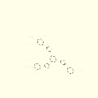 COc1cc(-c2nnc(-c3cc(-c4nnc(-c5cc(OC)c(OC)c(OC)c5)o4)cc(-c4nnc(-c5cc(OC)c(OC)c(OC)c5)o4)c3)o2)cc(OC)c1OC